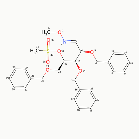 CON=C[C@@H](OCc1ccccc1)[C@@H](OCc1ccccc1)[C@@H](COCc1ccccc1)OS(C)(=O)=O